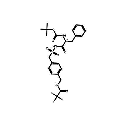 CC(C)(C)OC(=O)N[C@@H](Cc1ccccc1)C(=O)NS(=O)(=O)Cc1ccc(CNC(=O)C(F)(F)F)cc1